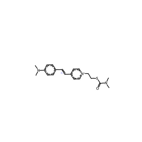 CN(C)C(=O)SCC[n+]1ccc(/C=C/c2ccc(N(C)C)cc2)cc1